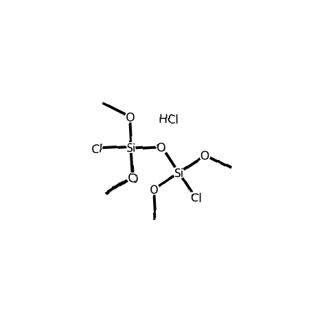 CO[Si](Cl)(OC)O[Si](Cl)(OC)OC.Cl